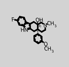 COc1cccc([C@@]23CCN(C)C[C@@]2(O)Cc2c([nH]c4cc(F)ccc24)C3)c1